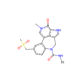 CCNC(=O)N1Cc2c[nH]c3c(=O)n(C)cc(c23)-c2cc(CS(C)(=O)=O)ccc21